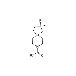 O=C(O)N1CCC2(CC1)CCC(F)(F)C2